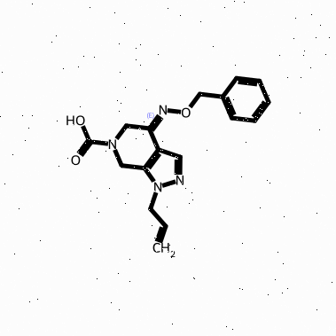 C=CCn1ncc2c1CN(C(=O)O)C/C2=N/OCc1ccccc1